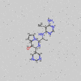 CC(Nc1ncnc(N)c1C#N)C1=NC(c2cncnc2)C(=O)c2cccn21